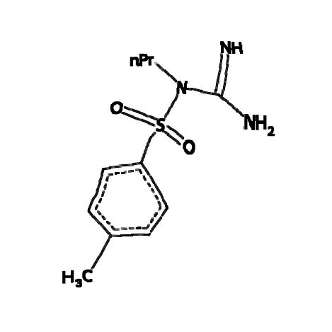 [CH2]CCN(C(=N)N)S(=O)(=O)c1ccc(C)cc1